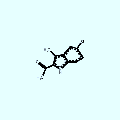 CC(=O)c1[nH]c2ccc(Cl)cc2c1C